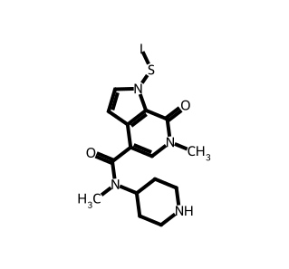 CN(C(=O)c1cn(C)c(=O)c2c1ccn2SI)C1CCNCC1